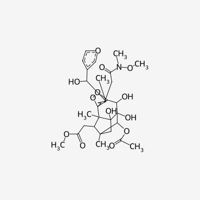 COC(=O)CC1C2(C)CC3(O)C(O)(C2OC(C)=O)C(O)C24OOC2(CCC(C)(C(O)c2ccoc2)C4CC(=O)N(C)OC)C13C